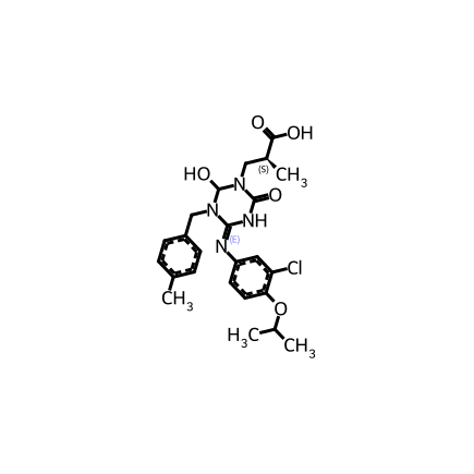 Cc1ccc(CN2/C(=N/c3ccc(OC(C)C)c(Cl)c3)NC(=O)N(C[C@H](C)C(=O)O)C2O)cc1